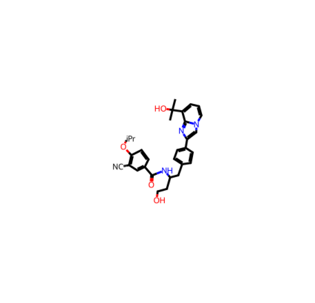 CC(C)Oc1ccc(C(=O)NC(CCO)Cc2ccc(-c3cn4cccc(C(C)(C)O)c4n3)cc2)cc1C#N